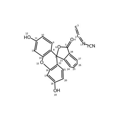 N#CN=C=S.O=C1OC2(c3ccc(O)cc3Oc3cc(O)ccc32)c2ccccc21